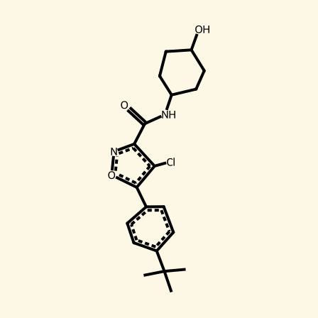 CC(C)(C)c1ccc(-c2onc(C(=O)NC3CCC(O)CC3)c2Cl)cc1